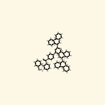 C=C(c1ccc(-c2cc(-c3cc4ccccc4c4ccccc34)nc3c2cc(-c2cc4ccccc4c4ccccc24)c2ccccc23)cc1)c1ccccc1-c1ccccc1N